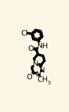 CN1N=C2CCC(C(=O)Nc3cccc(Cl)c3)CN2CC1=O